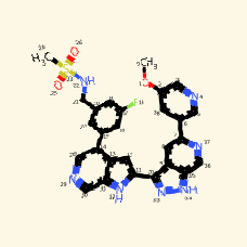 COc1cncc(-c2cc3c(-c4cc5c(-c6cc(F)cc(CNS(C)(=O)=O)c6)cncc5[nH]4)n[nH]c3cn2)c1